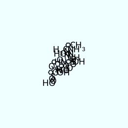 Cc1cccc(C)c1Nc1nc(O)nc(Nc2cc(Nc3ccc4c5c3C(=O)c3ccccc3-c5c(C(=O)c3cccc(SOOO)c3)c(=O)n4O)c(OS(=O)O)cc2S(=O)(=O)O)n1